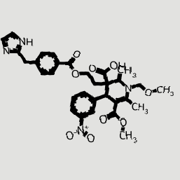 COCN1C(C)=C(C(=O)OC)C(c2cccc([N+](=O)[O-])c2)C(CCOC(=O)c2ccc(Cc3ncc[nH]3)cc2)(C(=O)O)C1C